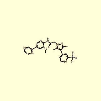 COc1cc(-c2cnccn2)cnc1NC(=O)Cn1nc(C)c(-c2ccnc(C(F)(F)F)c2)c1C